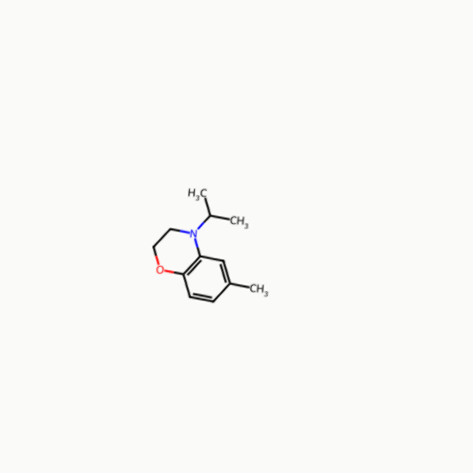 Cc1ccc2c(c1)N(C(C)C)CCO2